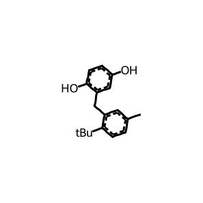 Cc1ccc(C(C)(C)C)c(Cc2cc(O)ccc2O)c1